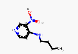 CCCCNc1ccncc1[N+](=O)[O-]